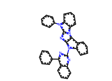 c1ccc(-c2nc(-n3c4ccccc4c4c3nc3n(-c5ccccc5)c5ccccc5n43)nc3ccccc23)cc1